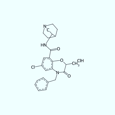 CC1Oc2c(C(=O)NC3CN4CCC3CC4)cc(Cl)cc2N(Cc2ccccc2)C1=O.Cl